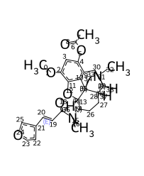 COc1cc(OC(C)=O)c2c3c1O[C@H]1[C@@H](N(C)C(=O)/C=C/c4ccoc4)CC[C@H]4[C@@H](C2)N(C)CC[C@@]341